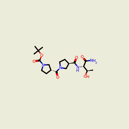 C[C@@H](O)[C@H](NC(=O)[C@@H]1CCN(C(=O)[C@@H]2CCN(C(=O)OC(C)(C)C)C2)C1)C(N)=O